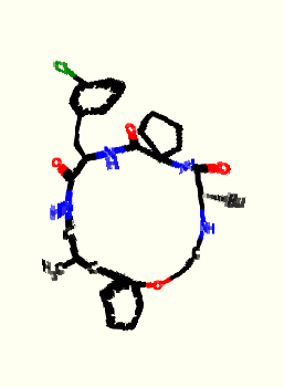 CCC(C)[C@@H]1NCCOc2ccccc2CC(C)CNC(=O)[C@@H](Cc2cccc(Cl)c2)NC(=O)C2(CCCC2)NC1=O